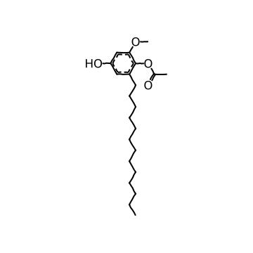 CCCCCCCCCCCCCc1cc(O)cc(OC)c1OC(C)=O